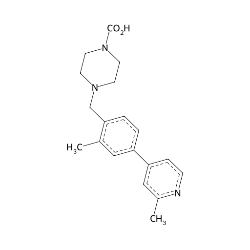 Cc1cc(-c2ccc(CN3CCN(C(=O)O)CC3)c(C)c2)ccn1